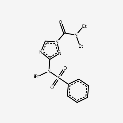 CCN(CC)C(=O)n1cnc(N(C(C)C)S(=O)(=O)c2ccccc2)n1